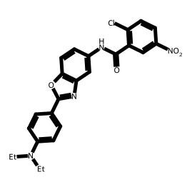 CCN(CC)c1ccc(-c2nc3cc(NC(=O)c4cc([N+](=O)[O-])ccc4Cl)ccc3o2)cc1